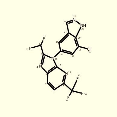 FC(F)c1nc2ccc(C(F)(F)F)nc2n1-c1cc(Cl)c2[nH]ncc2c1